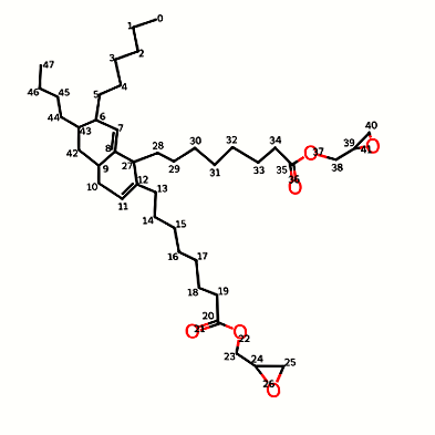 CCCCCCC1C=C2C(CC=C(CCCCCCCC(=O)OCC3CO3)C2CCCCCCCC(=O)OCC2CO2)CC1CCCC